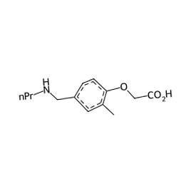 CCCNCc1ccc(OCC(=O)O)c(C)c1